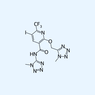 Cn1nnnc1COc1nc(C(F)(F)F)c(I)cc1C(=O)Nc1nnnn1C